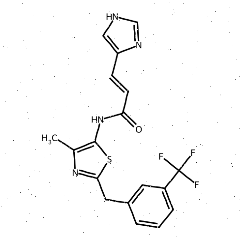 Cc1nc(Cc2cccc(C(F)(F)F)c2)sc1NC(=O)/C=C/c1c[nH]cn1